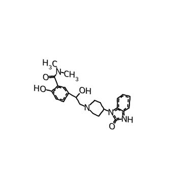 CN(C)C(=O)c1cc(C(O)CN2CCC(n3c(=O)[nH]c4ccccc43)CC2)ccc1O